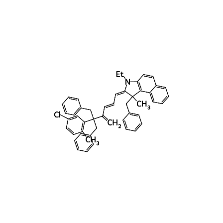 C=C(/C=C/C=C1/N(CC)c2ccc3ccccc3c2C1(C)Cc1ccccc1)C(Cc1ccccc1)(Cc1ccccc1)c1cc(Cl)ccc1C